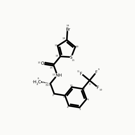 [CH2][C@@H](Cc1cccc(C(F)(F)F)c1)NC(=O)c1cc(Br)cs1